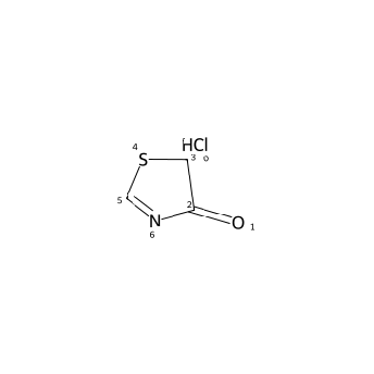 Cl.O=C1CSC=N1